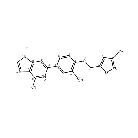 CC(C)c1cc(COc2ccc(-c3cc4c(ncn4C)c(C#N)n3)cc2C(F)(F)F)on1